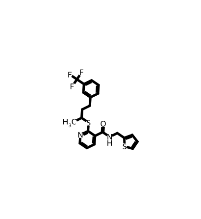 CC(CCc1cccc(C(F)(F)F)c1)Sc1ncccc1C(=O)NCc1cccs1